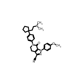 COc1ccc(-n2nc(C#N)c3c2C(=O)N(c2ccc(C4(CCN(C)C)CCCC4)cc2)CC3)cc1